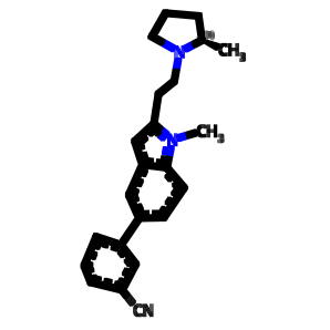 C[C@@H]1CCCN1CCc1cc2cc(-c3cccc(C#N)c3)ccc2n1C